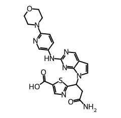 NC(=O)CC(c1ncc(C(=O)O)s1)n1ccc2cnc(Nc3ccc(N4CCOCC4)nc3)nc21